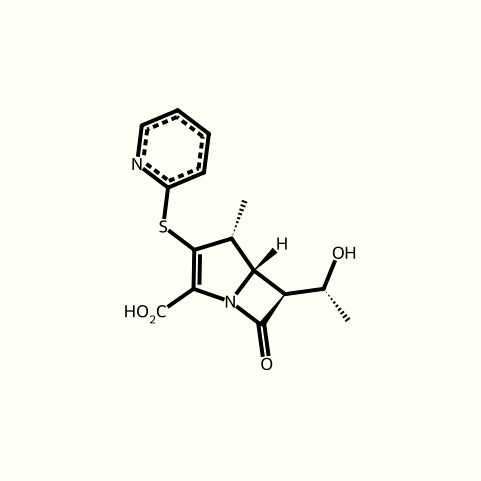 C[C@@H](O)[C@H]1C(=O)N2C(C(=O)O)=C(Sc3ccccn3)[C@H](C)[C@H]12